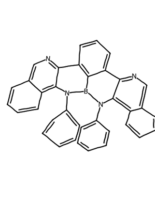 c1ccc(N2B3c4c(cccc4-c4ncc5ccccc5c4N3c3ccccc3)-c3ncc4ccccc4c32)cc1